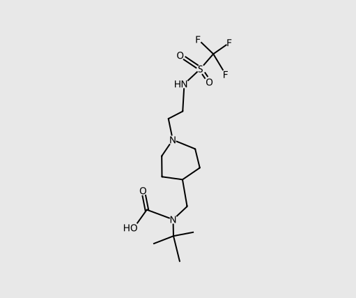 CC(C)(C)N(CC1CCN(CCNS(=O)(=O)C(F)(F)F)CC1)C(=O)O